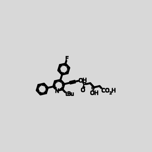 CC(C)(C)c1nc(-c2ccccc2)cc(-c2ccc(F)cc2)c1C#CO[PH](=O)C[C@@H](O)CC(=O)O